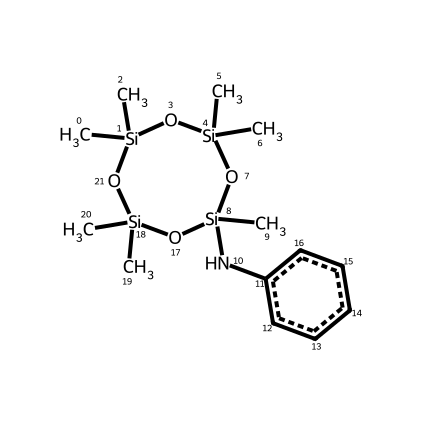 C[Si]1(C)O[Si](C)(C)O[Si](C)(Nc2ccccc2)O[Si](C)(C)O1